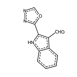 O=Cc1c(-c2nnco2)[nH]c2ccccc12